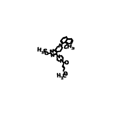 COC/C=C/C(=O)N1CCN(c2nc(OC)nc3c2CCN(c2cccc4cccc(C)c24)C3)CC1